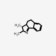 CC1N=C2c3ccccc3CCC2[C@H]1C